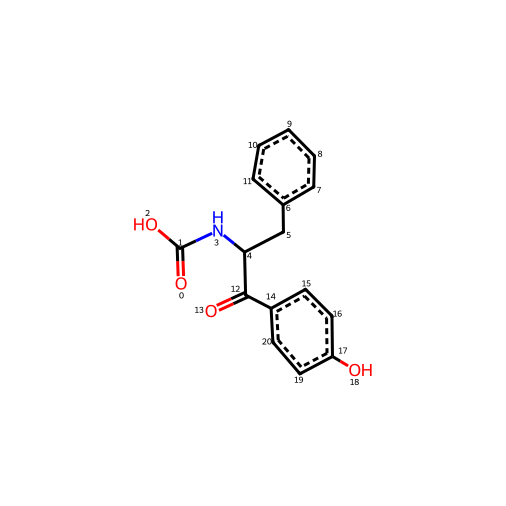 O=C(O)NC(Cc1ccccc1)C(=O)c1ccc(O)cc1